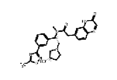 CN(C(=O)Cc1ccc2ncc(=O)[nH]c2c1)[C@H](CN1CC[C@H](O)C1)c1cccc(-c2noc(C(F)(F)F)n2)c1